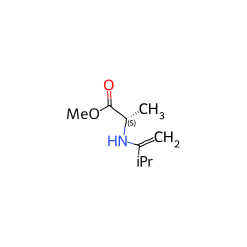 C=C(N[C@@H](C)C(=O)OC)C(C)C